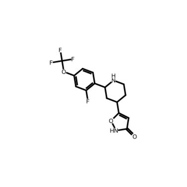 O=c1cc(C2CCNC(c3ccc(OC(F)(F)F)cc3F)C2)o[nH]1